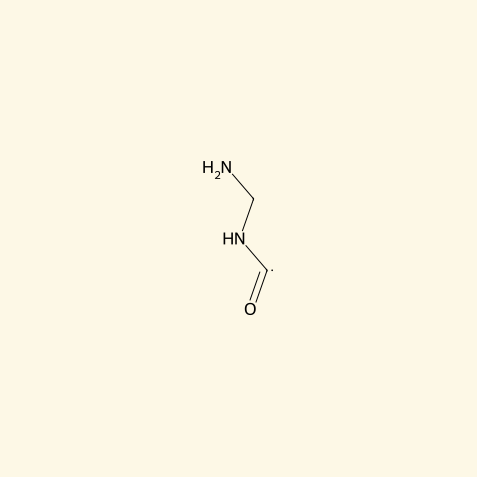 NCN[C]=O